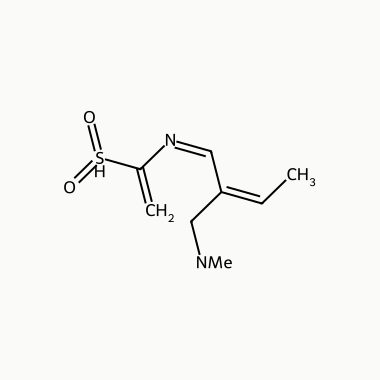 C=C(/N=C\C(=C/C)CNC)[SH](=O)=O